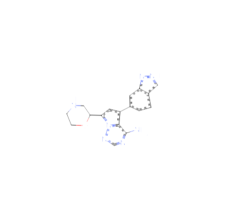 Nc1ncnn2c(C3CNCCO3)cc(-c3ccc4c[nH]nc4c3)c12